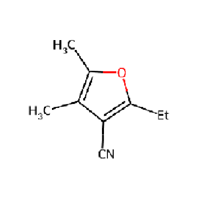 CCc1oc(C)c(C)c1C#N